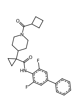 O=C(C1CCC1)N1CCC(C2(C(=O)Nc3c(F)cc(-c4ccccc4)cc3F)CC2)CC1